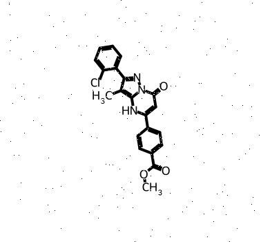 COC(=O)c1ccc(-c2cc(=O)n3nc(-c4ccccc4Cl)c(C)c3[nH]2)cc1